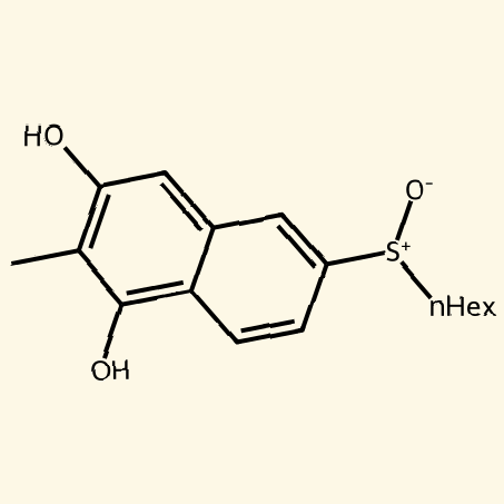 CCCCCC[S+]([O-])c1ccc2c(O)c(C)c(O)cc2c1